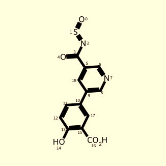 O=S=NC(=O)c1cncc(-c2ccc(O)c(C(=O)O)c2)c1